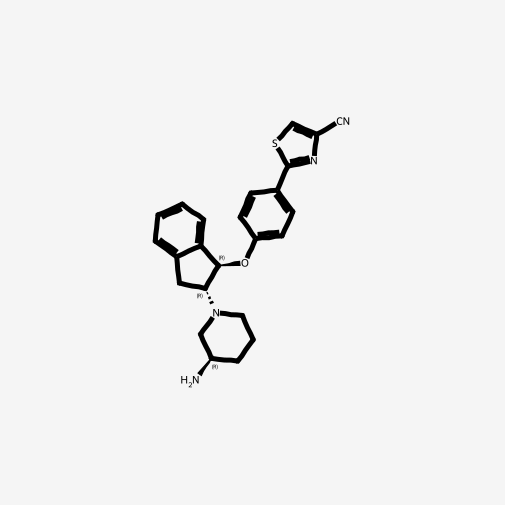 N#Cc1csc(-c2ccc(O[C@@H]3c4ccccc4C[C@H]3N3CCC[C@@H](N)C3)cc2)n1